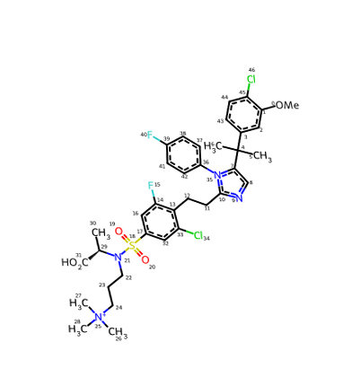 COc1cc(C(C)(C)c2cnc(CCc3c(F)cc(S(=O)(=O)N(CCC[N+](C)(C)C)[C@H](C)C(=O)O)cc3Cl)n2-c2ccc(F)cc2)ccc1Cl